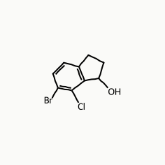 OC1CCc2ccc(Br)c(Cl)c21